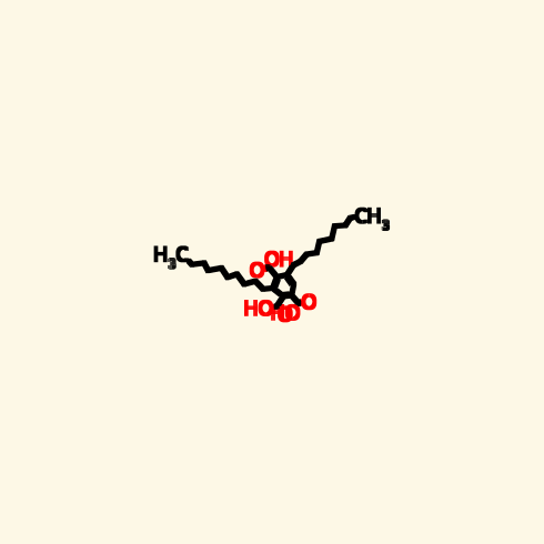 CCCCCCCCCCc1cc(C(=O)O)c(C(=O)O)c(CCCCCCCCCC)c1C(=O)O